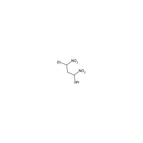 C[CH]CC(CC(CC)[N+](=O)[O-])[N+](=O)[O-]